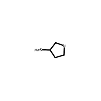 CSC1CC[N]C1